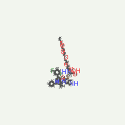 CCCCOCCOCCOCCOCCC(=O)N[C@@H](CSCC(=O)N(CC1CCNC1)[C@@H](c1cc(-c2cc(F)ccc2F)cn1Cc1ccccc1)C(C)(C)C)C(=O)O